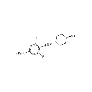 CCCCCc1cc(F)c(C#C[C@H]2CC[C@H](CCC)CC2)c(F)c1